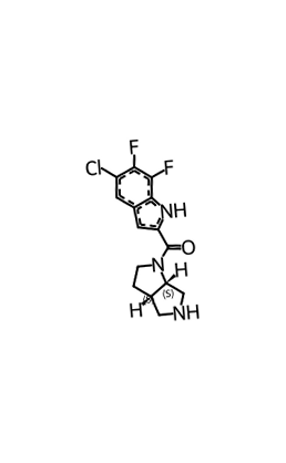 O=C(c1cc2cc(Cl)c(F)c(F)c2[nH]1)N1CC[C@H]2CNC[C@H]21